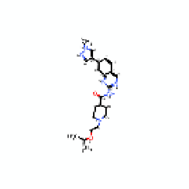 CC(C)OCCN1CCC(C(=O)Nc2ncc3ccc(-c4cnn(C)c4)cc3n2)CC1